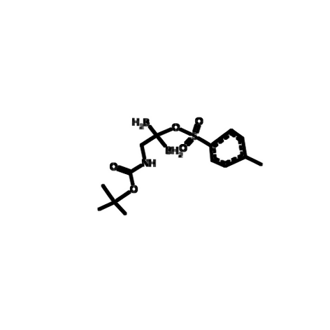 BC(B)(CNC(=O)OC(C)(C)C)OS(=O)(=O)c1ccc(C)cc1